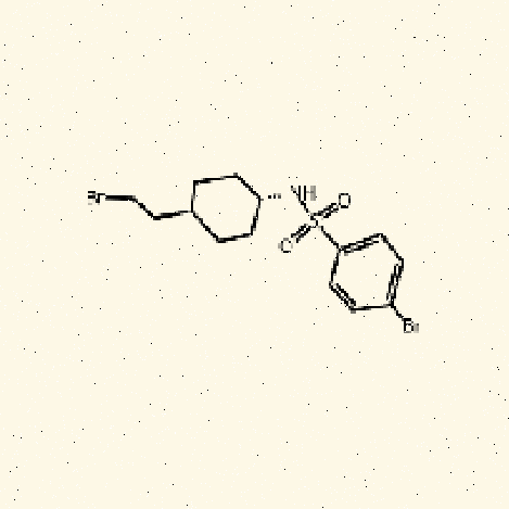 O=S(=O)(N[C@H]1CC[C@H](CCBr)CC1)c1ccc(Br)cc1